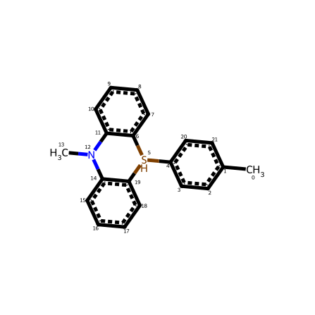 Cc1ccc([SH]2c3ccccc3N(C)c3ccccc32)cc1